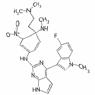 CNC1(CCN(C)C)C=CC(Nc2nc(-c3cn(C)c4ccc(F)cc34)c3cc[nH]c3n2)=CC1[N+](=O)[O-]